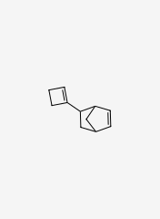 C1=CC2CC1CC2C1=CCC1